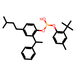 Cc1ccc(OP(O)Oc2ccc(CCC(C)C)cc2C(C)c2ccccc2)c(C(C)(C)C)c1